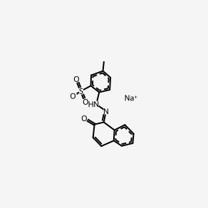 Cc1ccc(N/N=C2\C(=O)C=Cc3ccccc32)c(S(=O)(=O)[O-])c1.[Na+]